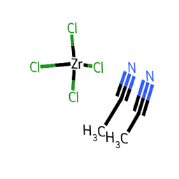 CC#N.CC#N.[Cl][Zr]([Cl])([Cl])[Cl]